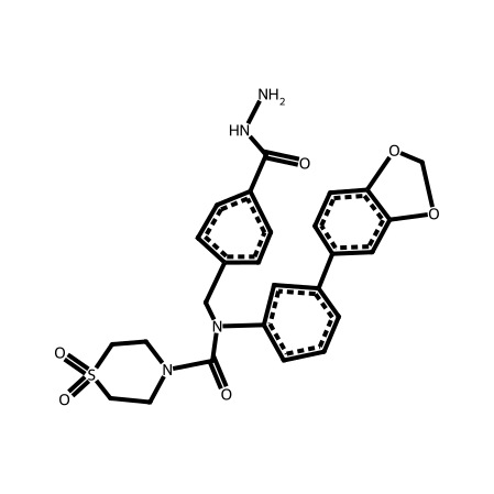 NNC(=O)c1ccc(CN(C(=O)N2CCS(=O)(=O)CC2)c2cccc(-c3ccc4c(c3)OCO4)c2)cc1